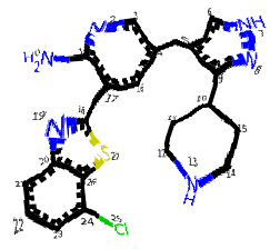 Nc1ncc(-c2c[nH]nc2C2CCNCC2)cc1-c1nc2cccc(Cl)c2s1